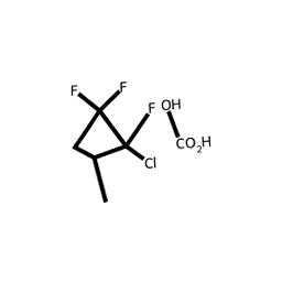 CC1CC(F)(F)C1(F)Cl.O=C(O)O